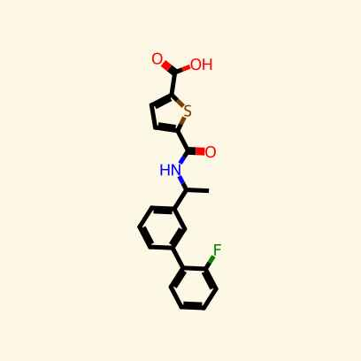 CC(NC(=O)c1ccc(C(=O)O)s1)c1cccc(-c2ccccc2F)c1